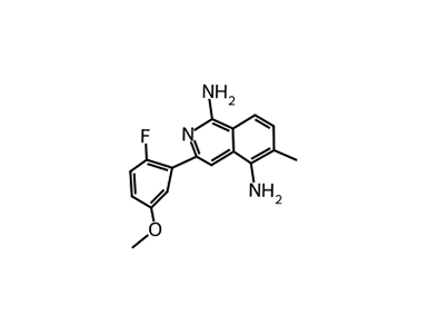 COc1ccc(F)c(-c2cc3c(N)c(C)ccc3c(N)n2)c1